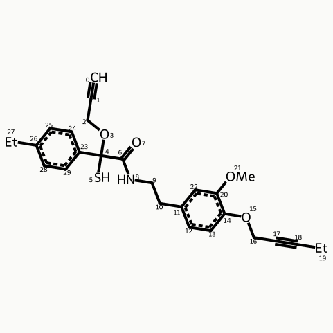 C#CCOC(S)(C(=O)NCCc1ccc(OCC#CCC)c(OC)c1)c1ccc(CC)cc1